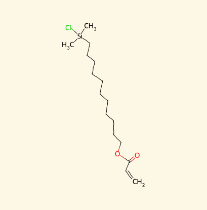 C=CC(=O)OCCCCCCCCCCC[Si](C)(C)Cl